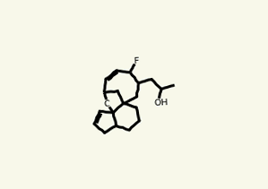 CC(O)CC1CC23CCCC4CC=CC42CC(/C=C\C1F)C3